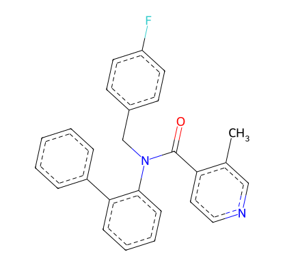 Cc1cnccc1C(=O)N(Cc1ccc(F)cc1)c1ccccc1-c1ccccc1